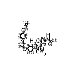 CCC(=O)Nc1nc(C)c(C(=O)N[C@@H](C)c2ccc(OC3CCN(c4ccc(OCC5CC5)cc4)C3)cc2)s1